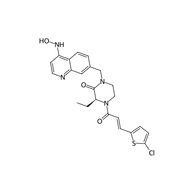 CC[C@H]1C(=O)N(Cc2ccc3c(NO)ccnc3c2)CCN1C(=O)C=Cc1ccc(Cl)s1